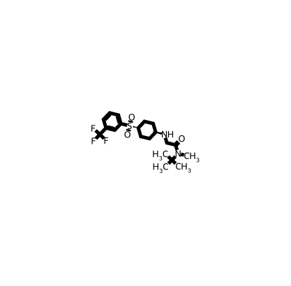 CN(C(=O)CN[C@H]1CC[C@H](S(=O)(=O)c2cccc(C(F)(F)F)c2)CC1)C(C)(C)C